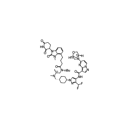 CCCCN(C[C@H](C)N(C)C[C@H]1CC[C@H](n2cc(NC(=O)c3cnn4ccc(N5C[C@H]6C[C@@H]5CO6)nc34)c(C(F)F)n2)CC1)C(=O)CCCc1cccc2c1n(C)c(=O)n2C1CCC(=O)NC1=O